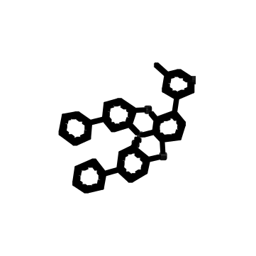 Cc1cncc(-c2ccc3c4c2Oc2ccc(-c5ccccc5)cc2P4(=O)c2cc(-c4ccccc4)ccc2O3)c1